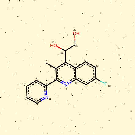 Cc1c(-c2ccccn2)nc2cc(F)ccc2c1C(O)CO